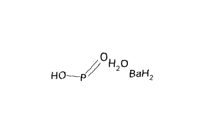 O.O=PO.[BaH2]